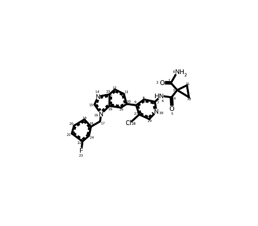 NC(=O)C1(C(=O)Nc2cc(-c3ccc4ncn(Cc5cccc(F)c5)c4c3)c(Cl)cn2)CC1